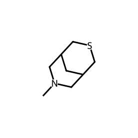 CN1CC2CSCC(C2)C1